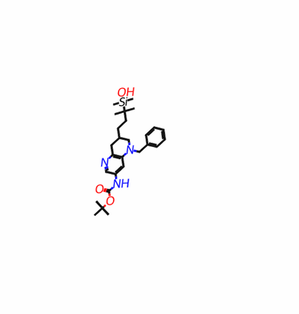 CC(C)(C)OC(=O)Nc1cnc2c(c1)N(Cc1ccccc1)CC(CCC(C)(C)[Si](C)(C)O)C2